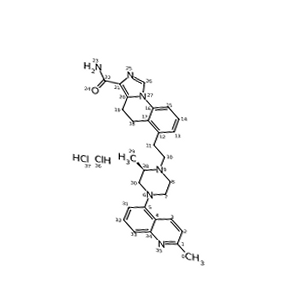 Cc1ccc2c(N3CCN(CCc4cccc5c4CCc4c(C(N)=O)ncn4-5)[C@H](C)C3)cccc2n1.Cl.Cl